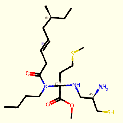 CCCCN(C(=O)C/C=C/C[C@@H](C)CC)[C@](CCSC)(NC[C@@H](N)CS)C(=O)OC